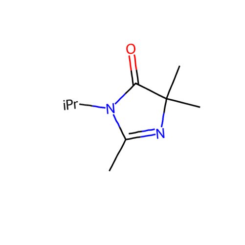 CC1=NC(C)(C)C(=O)N1C(C)C